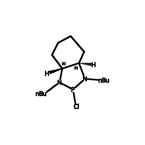 CCCCN1[C@@H]2CCCC[C@H]2N(CCCC)P1Cl